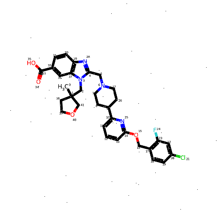 CC1(Cn2c(CN3CCC(c4cccc(OCc5ccc(Cl)cc5F)n4)CC3)nc3ccc(C(=O)O)cc32)CCOC1